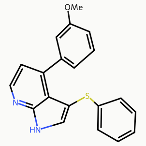 COc1cccc(-c2ccnc3[nH]cc(Sc4ccccc4)c23)c1